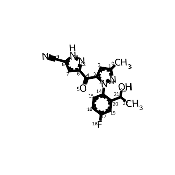 Cc1cc(C(=O)c2cc(C#N)[nH]n2)n(-c2ccc(F)cc2C(C)O)n1